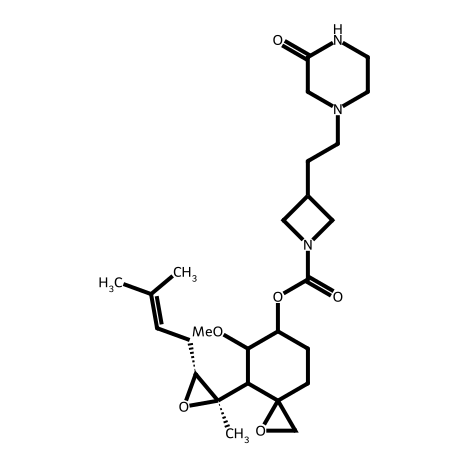 COC1C(OC(=O)N2CC(CCN3CCNC(=O)C3)C2)CCC2(CO2)C1[C@@]1(C)O[C@@H]1CC=C(C)C